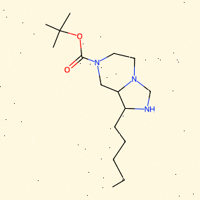 CCCCCC1NCN2CCN(C(=O)OC(C)(C)C)CC12